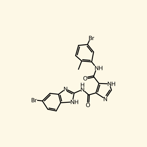 Cc1ccc(Br)cc1NC(=O)c1[nH]cnc1C(=O)Nc1nc2cc(Br)ccc2[nH]1